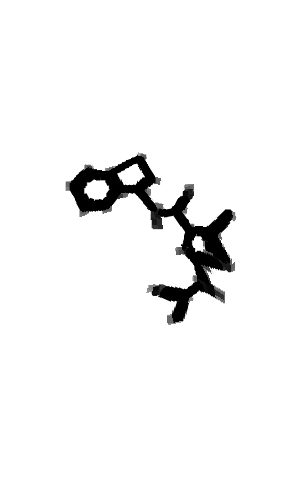 CC(=O)Nc1nc(C)c(C(=O)NC2CCc3ccccc32)s1